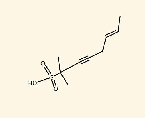 CC=CCC#CC(C)(C)S(=O)(=O)O